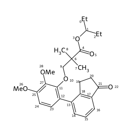 CCC(CC)OC(=O)C(C)(C)COc1c(-c2cccc3c2CCC3=O)ccc(OC)c1OC